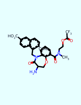 COc1ccc2cc(C(=O)O)ccc2c1CN1C(=O)C(N)COc2c(C(=O)N(C)CCOC(=O)C(F)(F)F)cccc21